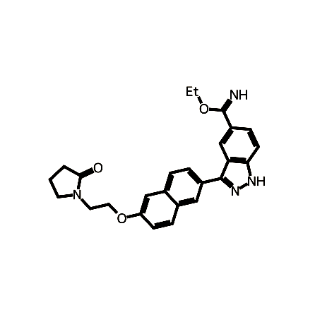 CCOC(=N)c1ccc2[nH]nc(-c3ccc4cc(OCCN5CCCC5=O)ccc4c3)c2c1